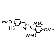 COc1cc(OC)c(C=C[S@@+]([O-])Cc2ccc(OC)c(S)c2)c(OC)c1